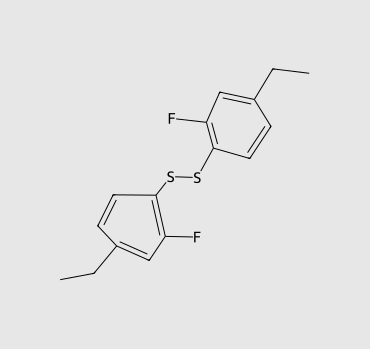 CCc1ccc(SSc2ccc(CC)cc2F)c(F)c1